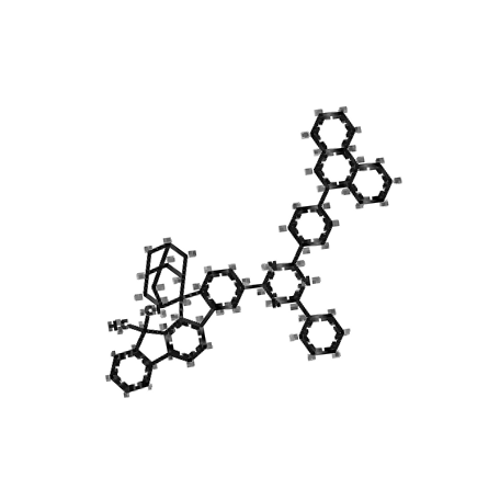 CC1(C)c2ccccc2-c2ccc3c(c21)C1(c2ccc(-c4nc(-c5ccccc5)nc(-c5ccc(-c6cc7ccccc7c7ccccc67)cc5)n4)cc2-3)C2CC3CC(C2)CC1C3